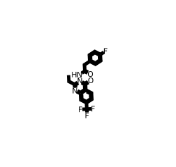 CCc1nc2cc(C(F)(F)F)ccc2c(=O)n1NC(=O)Cc1ccc(F)cc1